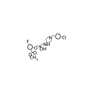 COC(=O)c1ccc(F)cc1OC[C@H](O)CNC1CCN(Cc2ccc(Cl)cc2)CC1